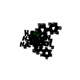 CC1=Cc2c(-c3ccccc3)ccc(C(C)C)c2[CH]1[Zr]([Cl])([Cl])([CH]1C(C(C)C)=Cc2c(-c3ccccc3)cccc21)[SiH](C)C